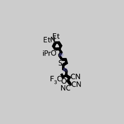 CCN(CC)c1ccc(/C=C/c2ccc(/C=C/C3=C(C#N)C(=C(C#N)C#N)OC3(C)C(F)(F)F)s2)c(OC(C)C)c1